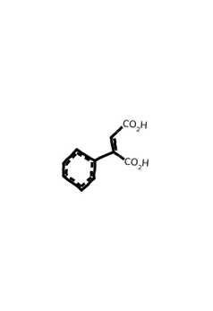 O=C(O)C=C(C(=O)O)c1ccccc1